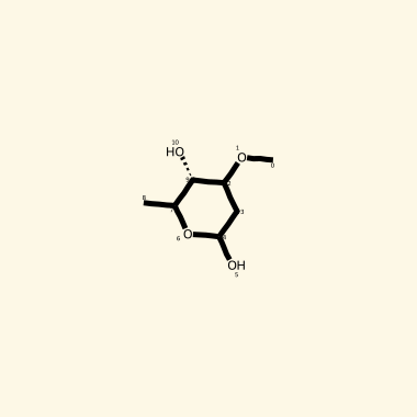 COC1CC(O)OC(C)[C@@H]1O